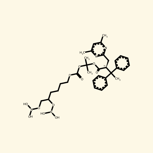 Cc1cc(C)nc(C[C@H](C(=O)OC(C)(C)OC(=O)OCCCCC(CON(O)O)ON(O)O)C(C)(c2ccccc2)c2ccccc2)n1